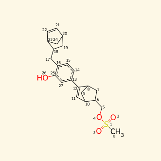 CS(=O)(=O)OCC1CC2CC1C=C2c1ccc(CC2CC3C=CC2C3)c(O)c1